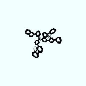 c1ccc(-c2ccc(-c3ccc(N(c4cccc(-c5ccc6ccccc6c5)c4)c4cccc(-c5cccc6c5oc5ccccc56)c4)cc3)c(-n3c4ccccc4c4ccccc43)c2)cc1